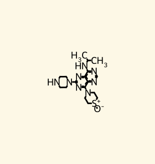 CC(C)Nc1ncnc2c(N3CC[S+]([O-])CC3)nc(N3CCNCC3)nc12